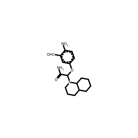 NC(=O)C(Oc1ccc([N+](=O)[O-])c(C=O)c1)N1CCCC2CCCCC21